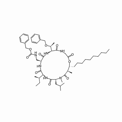 CCCCCCCCCC[C@H]1OC(=O)CNC(=O)[C@H]([C@H](C)OCc2ccccc2)NC(=O)[C@H](CNC(=O)OCc2ccccc2)NC(=O)[C@H]([C@H](C)CC)NC(=O)[C@H](CC(C)C)N(C)C(=O)[C@@H]1C